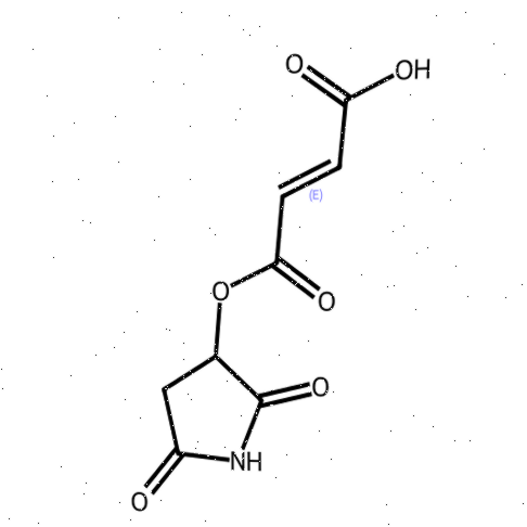 O=C(O)/C=C/C(=O)OC1CC(=O)NC1=O